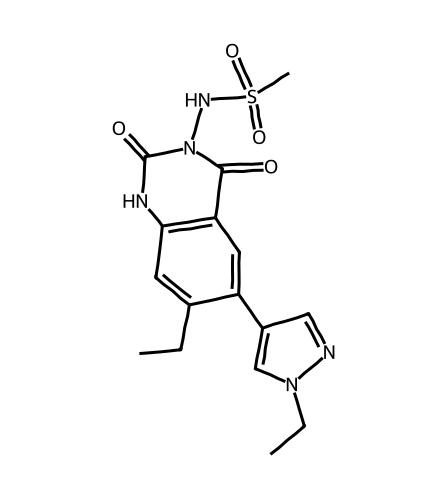 CCc1cc2[nH]c(=O)n(NS(C)(=O)=O)c(=O)c2cc1-c1cnn(CC)c1